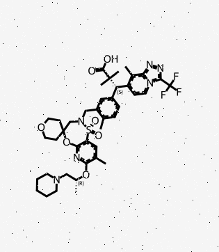 Cc1ccc([C@@H](c2ccn3c(C(F)(F)F)nnc3c2C)C(C)(C)C(=O)O)cc1CN1CC2(CCOCC2)Oc2nc(O[C@H](C)CN3CCCCC3)c(C)cc2S1(=O)=O